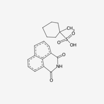 CC1(S(=O)(=O)O)CCCCC1.O=C1NC(=O)c2cccc3cccc1c23